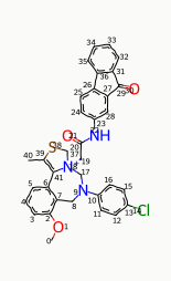 COc1cccc2c1CN(c1ccc(Cl)cc1)C[N@@+]1(CC(=O)Nc3ccc4c(c3)C(=O)c3ccccc3-4)CSC(C)=C21